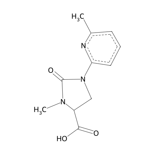 Cc1cccc(N2CC(C(=O)O)N(C)C2=O)n1